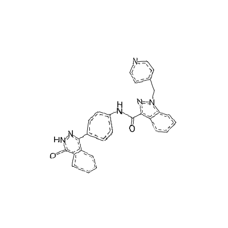 O=C(Nc1ccc(-c2n[nH]c(=O)c3ccccc23)cc1)c1nn(Cc2ccncc2)c2ccccc12